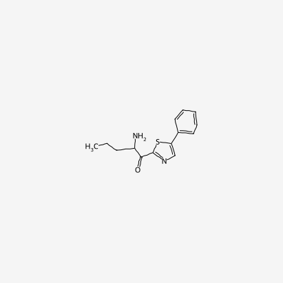 CCCC(N)C(=O)c1ncc(-c2ccccc2)s1